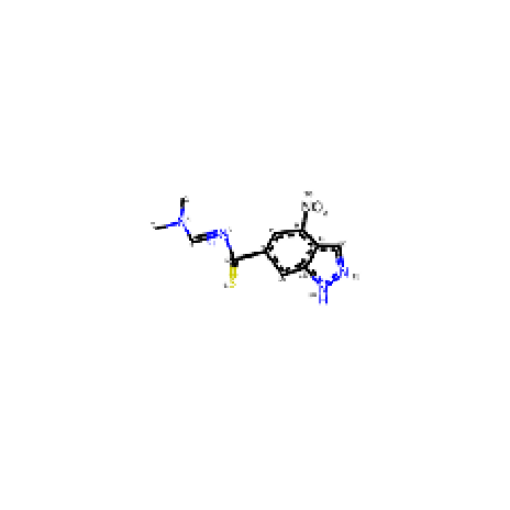 CN(C)/C=N/C(=S)c1cc([N+](=O)[O-])c2cn[nH]c2c1